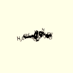 CN(C)CCCCCCOc1cc2nccc(Oc3ccc(NC(=O)Nc4ccc(Cl)c(C(F)(F)F)c4)cc3)c2c2c1OCCO2